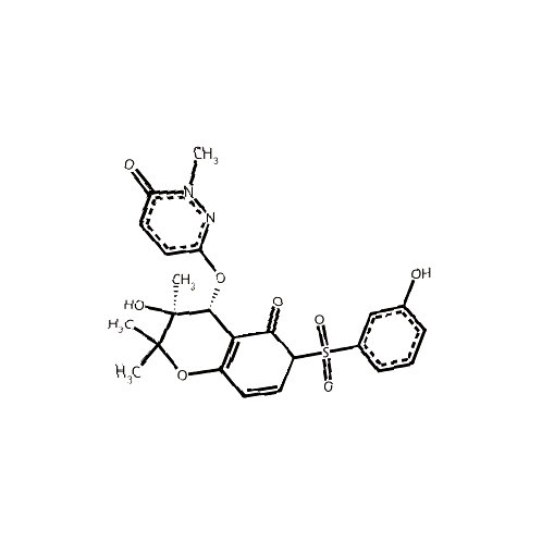 Cn1nc(O[C@@H]2C3=C(C=CC(S(=O)(=O)c4cccc(O)c4)C3=O)OC(C)(C)[C@@]2(C)O)ccc1=O